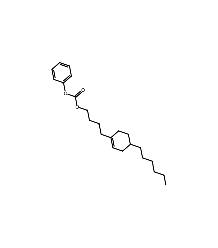 CCCCCCC1CC=C(CCCCOC(=O)Oc2ccccc2)CC1